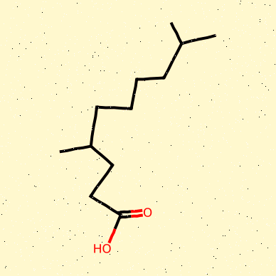 CC(C)CCCCC(C)CCC(=O)O